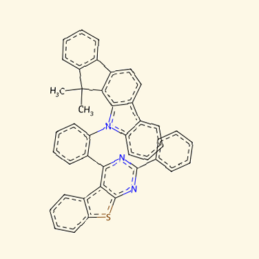 CC1(C)c2ccccc2-c2ccc3c4ccccc4n(-c4ccccc4-c4nc(-c5ccccc5)nc5sc6ccccc6c45)c3c21